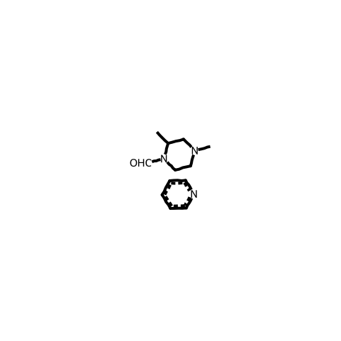 CC1CN(C)CCN1C=O.c1ccncc1